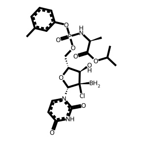 B[C@]1(Cl)[C@H](O)[C@@H](COP(=O)(N[C@@H](C)C(=O)OC(C)C)Oc2cccc(C)c2)O[C@H]1n1ccc(=O)[nH]c1=O